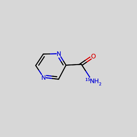 [15NH2]C(=O)c1cnccn1